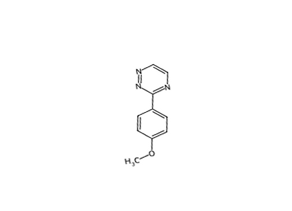 COc1ccc(-c2nccnn2)cc1